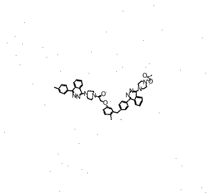 Cc1ccc(-c2nnc(N3CCN(C(=O)COc4ccc(C)c(Cc5ccc(-c6nnc(N7CCN(S(C)(=O)=O)CC7)c7ccccc67)cc5)c4)CC3)c3ccccc23)cc1